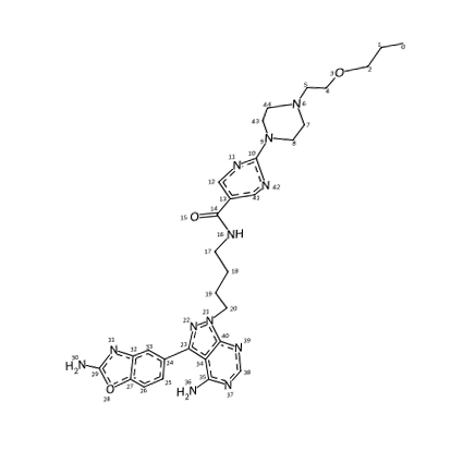 CCCOCCN1CCN(c2ncc(C(=O)NCCCCn3nc(-c4ccc5oc(N)nc5c4)c4c(N)ncnc43)cn2)CC1